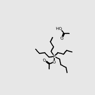 CC(=O)O.CCCCP(CCCC)(CCCC)(CCCC)OC(C)=O